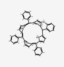 Oc1ccccc1C1c2ccc([nH]2)C(c2ccccc2)=C2C=CC(=N2)C(c2ccccc2)=c2ccc([nH]2)=C(c2ccccc2)C2=NC1C=C2